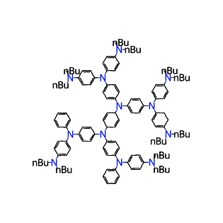 CCCCN(CCCC)C1=CC=C(N(c2ccc(N(CCCC)CCCC)cc2)c2ccc(N(c3ccc(N(c4ccc(N(CCCC)CCCC)cc4)c4ccc(N(CCCC)CCCC)cc4)cc3)C3C=CC(N(c4ccc(N(c5ccccc5)c5ccc(N(CCCC)CCCC)cc5)cc4)c4ccc(N(c5ccccc5)c5ccc(N(CCCC)CCCC)cc5)cc4)C=C3)cc2)CC1